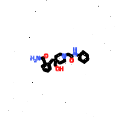 NC(=O)c1ccccc1CC1(CO)CCN(CC(=O)Nc2ccccc2)CC1